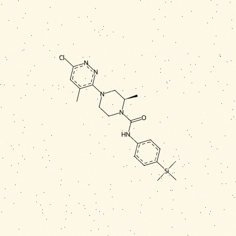 Cc1cc(Cl)nnc1N1CCN(C(=O)Nc2ccc([Si](C)(C)C)cc2)[C@H](C)C1